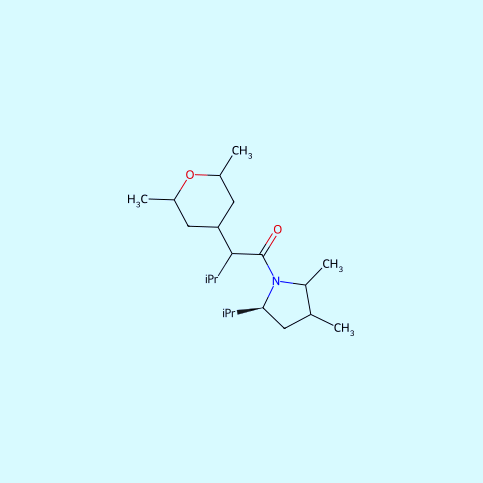 CC1CC(C(C(=O)N2C(C)C(C)C[C@H]2C(C)C)C(C)C)CC(C)O1